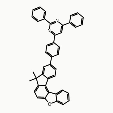 CC1(C)c2cc(-c3ccc(-c4cc(-c5ccccc5)nc(-c5ccccc5)n4)cc3)ccc2-c2c1ccc1oc3ccccc3c21